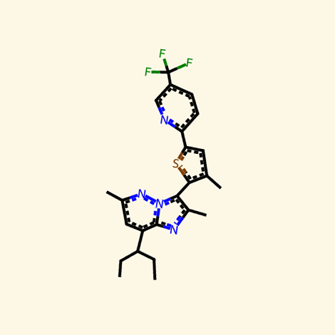 CCC(CC)c1cc(C)nn2c(-c3sc(-c4ccc(C(F)(F)F)cn4)cc3C)c(C)nc12